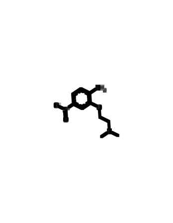 CN(C)CCOc1cc([N+](=O)[O-])ccc1N